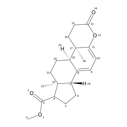 COC(=O)C1CC[C@H]2C3=CC=C4OC(=O)CC[C@]4(C)[C@@H]3CC[C@]12C